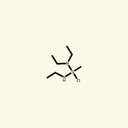 CCN[Si](C)(Cl)N(CC)CC